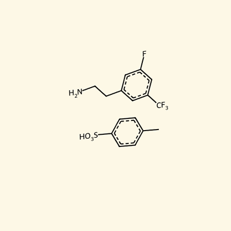 Cc1ccc(S(=O)(=O)O)cc1.NCCc1cc(F)cc(C(F)(F)F)c1